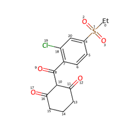 CCS(=O)(=O)c1ccc(C(=O)C2C(=O)CCCC2=O)c(Cl)c1